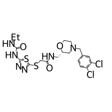 CCNC(=O)Nc1nnc(SCC(=O)NC[C@H]2CN(Cc3ccc(Cl)c(Cl)c3)CCO2)s1